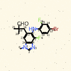 Cn1cnc2c(F)c(Nc3ccc(Br)cc3F)c(CC(C)(C)C=O)cc21